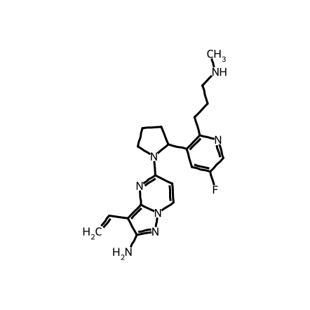 C=Cc1c(N)nn2ccc(N3CCCC3c3cc(F)cnc3CCCNC)nc12